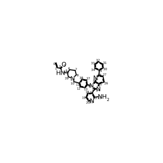 C=CC(=O)N[C@H]1CCCN(Cc2ccc(-n3c(-c4cccnc4N)nc4ccc(-c5ccccc5)nc43)cc2)C1